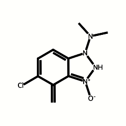 C=c1c(Cl)ccc2c1=[N+]([O-])NN2N(C)C